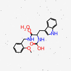 COc1ccccc1CNC(=O)C(Cc1c[nH]c2ccccc12)NC(=O)O.O